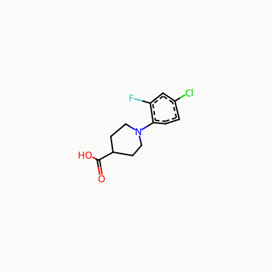 O=C(O)C1CCN(c2ccc(Cl)cc2F)CC1